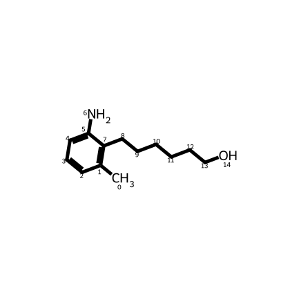 Cc1cccc(N)c1CCCCCCO